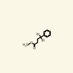 CCC(CC)(CCC(=O)O[SiH3])c1ccccc1